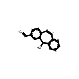 C=Cc1ccc2c(c1)C(O)c1ccccc1C=C2